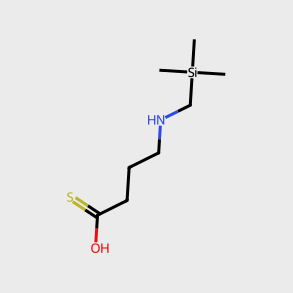 C[Si](C)(C)CNCCCC(O)=S